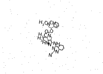 CN(C)CC(OC(=O)N1Cc2c(Nc3nc(C#N)nc4ccccc34)n[nH]c2C1(C)C)c1ccccc1